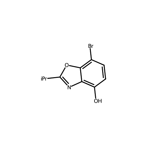 CC(C)c1nc2c(O)ccc(Br)c2o1